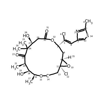 Cc1nc(C=C(Cl)[C@@H]2C[C@H]3O[C@@]3(Cl)CCO[C@@H](C)[C@@H](O)[C@@H](C)C(=O)C(C)(C)[C@@H](O)CC(=O)O2)cs1